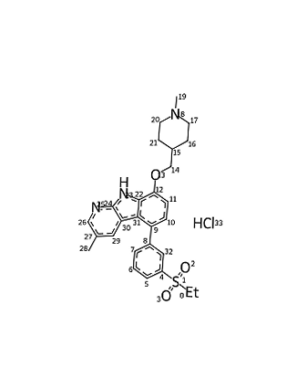 CCS(=O)(=O)c1cccc(-c2ccc(OCC3CCN(C)CC3)c3[nH]c4ncc(C)cc4c23)c1.Cl